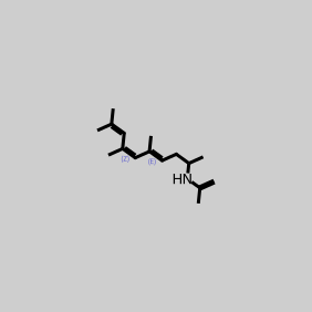 C=C(C)NC(C)C/C=C(C)/C=C(/C)C=C(C)C